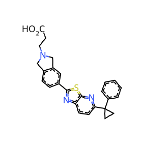 O=C(O)CCN1Cc2ccc(-c3nc4ccc(C5(c6ccccc6)CC5)nc4s3)cc2C1